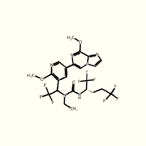 CCN(C(=O)N[C@@H](CCC(F)(F)F)C(F)(F)F)C(c1cc(-c2cn3ccnc3c(OC)n2)cnc1OC)C(F)(F)F